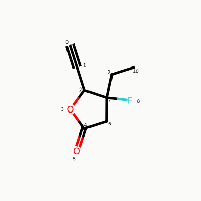 C#CC1OC(=O)CC1(F)CC